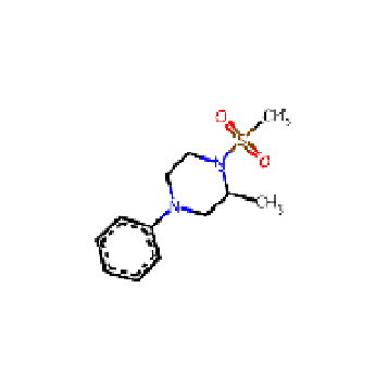 CC1CN(c2ccccc2)CCN1S(C)(=O)=O